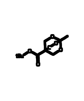 CC(C)(C)OC(=O)C12COC(C)(OC1)OC2